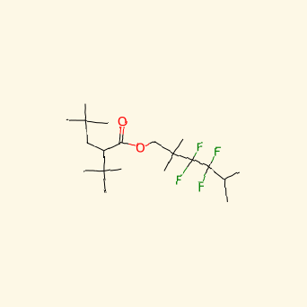 CC(C)C(F)(F)C(F)(F)C(C)(C)COC(=O)C(CC(C)(C)C)C(C)(C)C